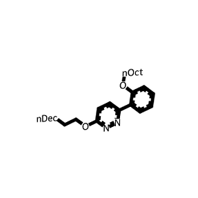 CCCCCCCCCCCCOc1ccc(-c2ccccc2OCCCCCCCC)nn1